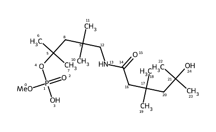 COP(=O)(O)OC(C)(C)CC(C)(C)CNC(=O)CC(C)(C)CC(C)(C)O